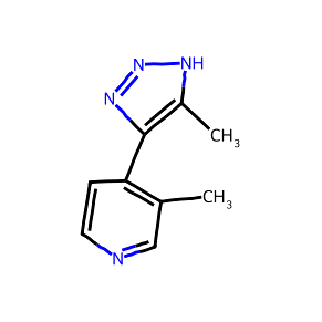 Cc1cnccc1-c1nn[nH]c1C